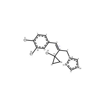 Clc1ccc(/C=C(/Cn2cncn2)C2(Cl)CC2)cc1Cl